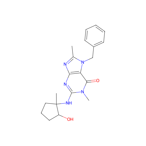 Cc1nc2nc(NC3(C)CCCC3O)n(C)c(=O)c2n1Cc1ccccc1